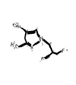 Cc1nn(CC(F)F)cc1N=O